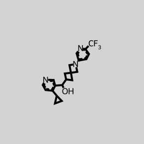 OC(c1cnccc1C1CC1)C1CC2(C1)CN(c1ccc(C(F)(F)F)nc1)C2